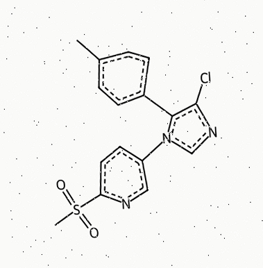 Cc1ccc(-c2c(Cl)ncn2-c2ccc(S(C)(=O)=O)nc2)cc1